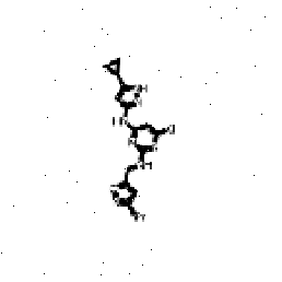 CC(C)c1cc(CNc2nc(Cl)cc(Nc3cc(C4CC4)[nH]n3)n2)on1